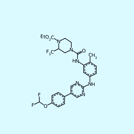 CCOC(=O)N1CCN(C(=O)Nc2cc(Nc3ncc(-c4ccc(OC(F)F)cc4)cn3)ccc2C)CC1C(F)(F)F